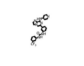 O=C(Nc1cccc(-c2cn3ccnc3c(Nc3ccncc3)n2)c1)Nc1cccc(C(F)(F)F)c1